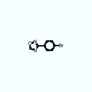 Brc1ccc(-c2ncon2)cc1